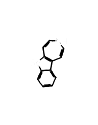 C1=Cc2[se]c3ccccc3c2C=CN1